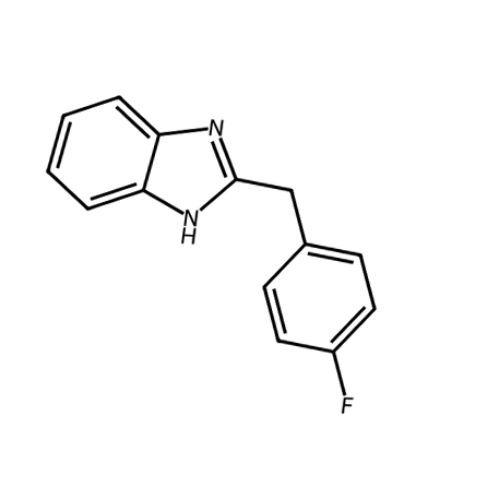 Fc1ccc(Cc2nc3ccccc3[nH]2)cc1